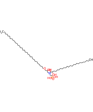 CCCCCCCCCCCCCCCCCCCCCCCCCCCCCCCCCOCC(O)CN(CCP(=O)(O)O)C(=O)C(O)CCCCCCCCCCCCCCCCCCCCCCC